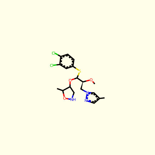 CO[C@@H](Cn1cc(C)cn1)C(OC1CNOC1C)Sc1ccc(Cl)c(Cl)c1